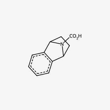 O=C(O)N1C2CCC1c1ccccc12